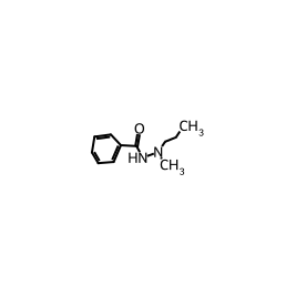 CCCN(C)NC(=O)c1ccccc1